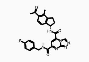 CC(=O)c1ccc2c(c1C)CC[C@@H]2NC(=O)c1cc(C(=O)NCc2ccc(F)cc2)nc2nncn12